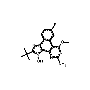 COc1nc(N)nc2c1c1cc(F)ccc1c1nc(C(C)(C)C)n(O)c12